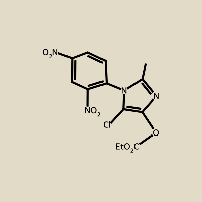 CCOC(=O)Oc1nc(C)n(-c2ccc([N+](=O)[O-])cc2[N+](=O)[O-])c1Cl